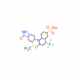 CSc1cc(C(N)=O)ccc1-n1c(=O)cc(C(F)(F)F)c2cc(S(=O)(=O)O)ccc21